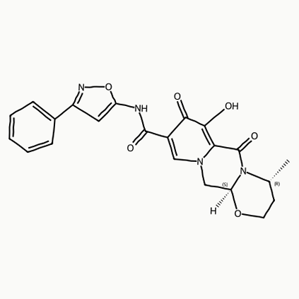 C[C@@H]1CCO[C@H]2Cn3cc(C(=O)Nc4cc(-c5ccccc5)no4)c(=O)c(O)c3C(=O)N12